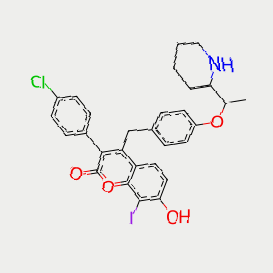 CC(Oc1ccc(Cc2c(-c3ccc(Cl)cc3)c(=O)oc3c(I)c(O)ccc23)cc1)C1CCCCN1